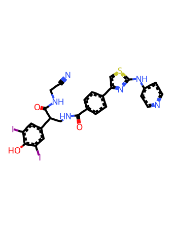 N#CCNC(=O)C(CNC(=O)c1ccc(-c2csc(Nc3ccncc3)n2)cc1)c1cc(I)c(O)c(I)c1